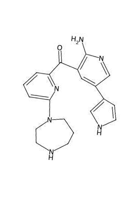 Nc1ncc(-c2cc[nH]c2)cc1C(=O)c1cccc(N2CCCNCC2)n1